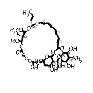 CCC[C@@H]1C/C=C/C=C/C=C/C=C/C(O[C@@H]2O[C@H](C)[C@@H](O)[C@H](N)[C@@H]2O)C[C@@H]2O[C@](O)(CC(O)CCCC(=O)CC(O)[C@H](CC)C(=O)O1)C[C@H](O)[C@H]2C(=O)O